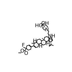 C=C(C)[C@@H]1CC[C@]2(NCCN3CCS(O)(O)CC3)CC[C@]3(C)[C@H](CC[C@@H]4[C@@]5(C)CC=C(C6=CCC(CF)(C(=O)OCC)CC6)C(C)(C)[C@@H]5CC[C@]43C)[C@@H]12